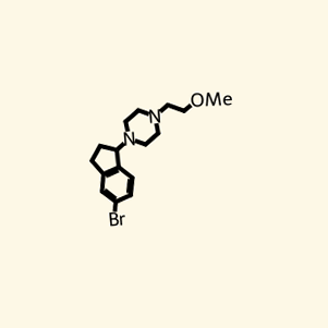 COCCN1CCN(C2CCc3cc(Br)ccc32)CC1